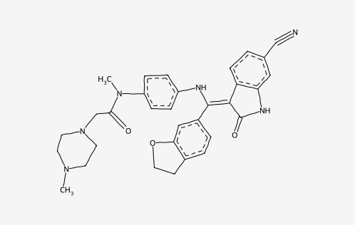 CN1CCN(CC(=O)N(C)c2ccc(NC(=C3C(=O)Nc4cc(C#N)ccc43)c3ccc4c(c3)OCC4)cc2)CC1